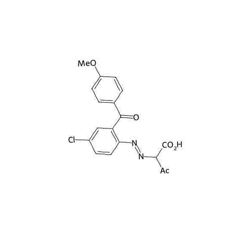 COc1ccc(C(=O)c2cc(Cl)ccc2/N=N/C(C(C)=O)C(=O)O)cc1